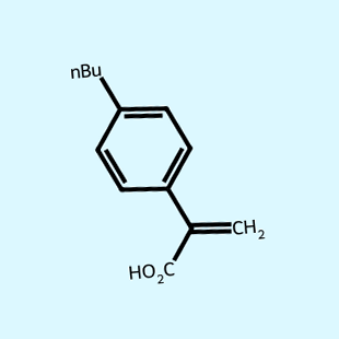 C=C(C(=O)O)c1ccc(CCCC)cc1